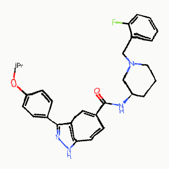 CC(C)Oc1ccc(-c2n[nH]c3ccc(C(=O)N[C@@H]4CCCN(Cc5ccccc5F)C4)cc23)cc1